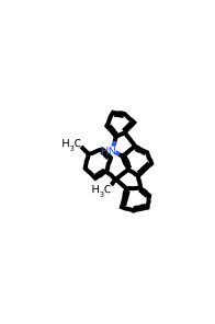 CC1C=CC(C2(C)c3ccccc3-c3ccc4c([nH]c5ccccc54)c32)=CC1